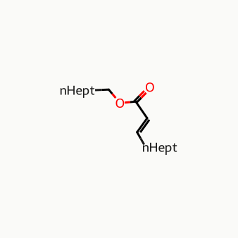 CCCCCCCC=CC(=O)OCCCCCCCC